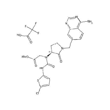 COC(=O)CN(C(=O)Nc1ccc(Cl)s1)[C@H]1CCN(Cc2ccc3c(N)ncnc3c2)C1=O.O=C(O)C(F)(F)F